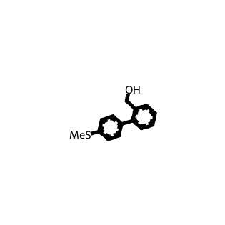 CSc1ccc(-c2ccccc2CO)cc1